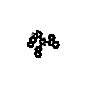 c1ccc2cc(-c3nc(-c4cc5ccccc5c5ccccc45)nc(-c4ccnc5oc6cc7ccccc7cc6c45)n3)ccc2c1